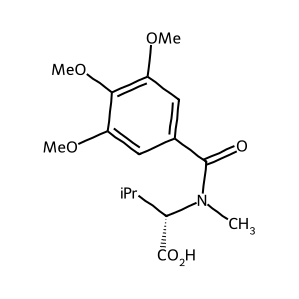 COc1cc(C(=O)N(C)[C@H](C(=O)O)C(C)C)cc(OC)c1OC